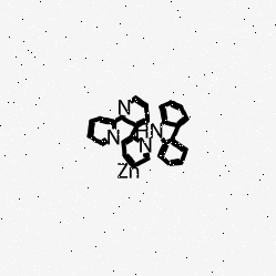 [Zn].c1ccc(-c2cccnc2-c2ccccn2)nc1.c1ccc2c(c1)[nH]c1ccccc12